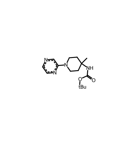 CC1(NC(=O)OC(C)(C)C)CCN(c2cnccn2)CC1